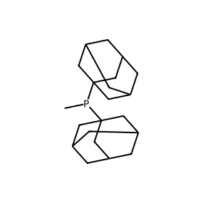 CP(C12CC3CC(CC(C3)C1)C2)C12CC3CC(CC(C3)C1)C2